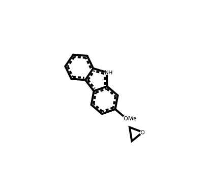 C1CO1.COc1ccc2c(c1)[nH]c1ccccc12